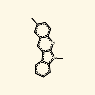 Cc1ccc2nc3c(cc2c1)c1ccccc1n3C